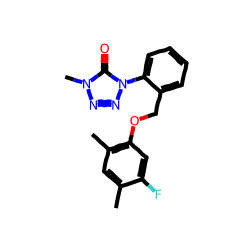 Cc1cc(C)c(OCc2ccccc2-n2nnn(C)c2=O)cc1F